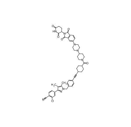 Cc1c(-c2ccc(C#N)c(Cl)c2)nn(Cc2ccc(C#CC3CCC(C(=O)N4CCC(N5CCN(c6ccc7c(c6)C(=O)N(C6CCC(=O)NC6=O)C7=O)CC5)CC4)CC3)cc2)c1C